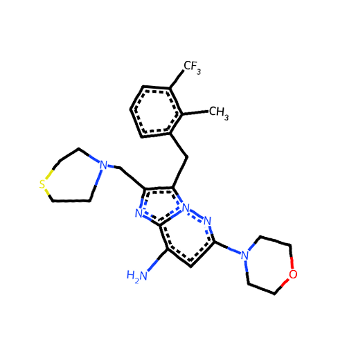 Cc1c(Cc2c(CN3CCSCC3)nc3c(N)cc(N4CCOCC4)nn23)cccc1C(F)(F)F